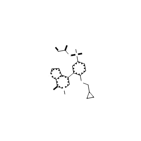 C=CC(=O)N=S(C)(=O)c1ccc(OCC2CC2)c(-c2cn(C)c(=O)c3[nH]ccc23)c1